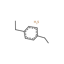 CCc1ccc(CC)cc1.S